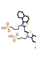 COc1ccc2c(c1)N(CCCS(=O)(=O)O)/C(=C/c1sc3ccc4ccccc4c3[n+]1CCCCS(=O)(=O)O)S2